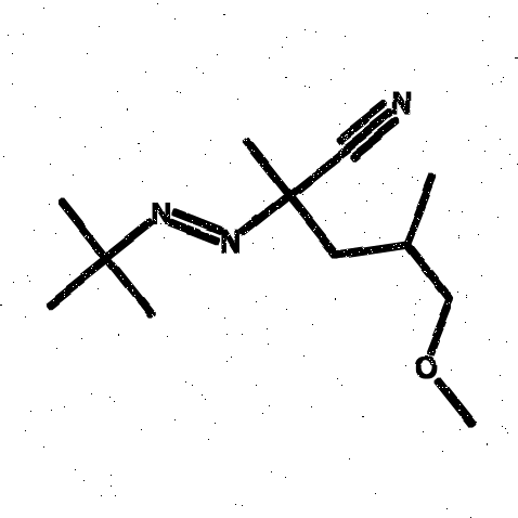 COCC(C)CC(C)(C#N)N=NC(C)(C)C